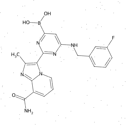 Cc1nc2c(C(N)=O)cccn2c1-c1nc(NCc2cccc(F)c2)cc(B(O)O)n1